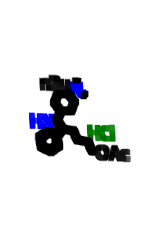 CCCCC1(N(C)C)CCC(c2[nH]c3ccccc3c2CCCCOC(C)=O)CC1.Cl